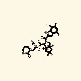 Cc1cc(F)c2cc(C(=O)N3C[C@@H]4CC(F)(F)C[C@@H]4[C@H]3C(=O)N[C@@H](C#N)C[C@@H]3CCCNC3=O)[nH]c2c1Cl